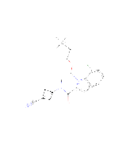 CN(C(=O)c1cc2cccc(Cl)c2n1COCC[Si](C)(C)C)C12CC(C#N)(C1)C2